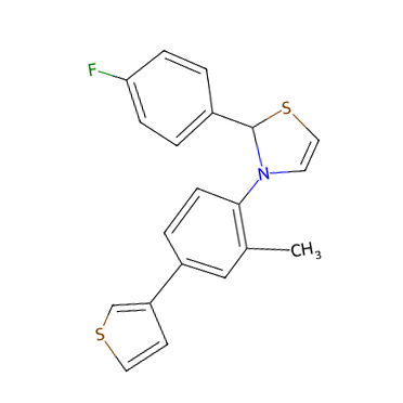 Cc1cc(-c2ccsc2)ccc1N1C=CSC1c1ccc(F)cc1